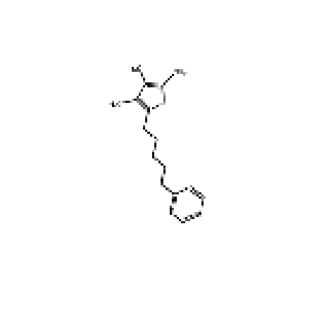 Cc1c(CCCCCc2ccccc2)sc(N)c1C#N